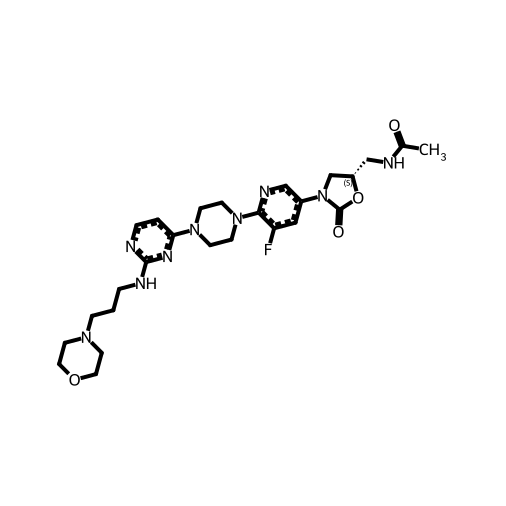 CC(=O)NC[C@H]1CN(c2cnc(N3CCN(c4ccnc(NCCCN5CCOCC5)n4)CC3)c(F)c2)C(=O)O1